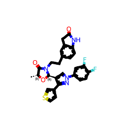 C[C@H]1O[C@H](c2cn(-c3ccc(F)c(F)c3)nc2-c2ccsc2)N(CCc2ccc3c(c2)CC(=O)N3)C1=O